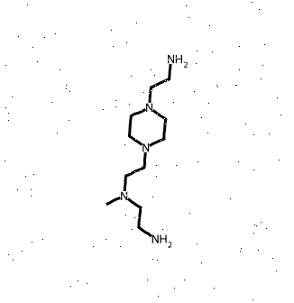 CN(CCN)CCN1CCN(CCN)CC1